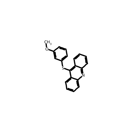 COc1cccc(Sc2c3ccccc3nc3ccccc23)c1